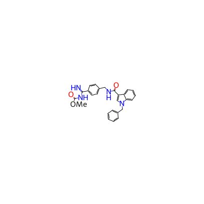 COC(=O)NC(=N)c1ccc(CNC(=O)c2cn(Cc3ccccc3)c3ccccc23)cc1